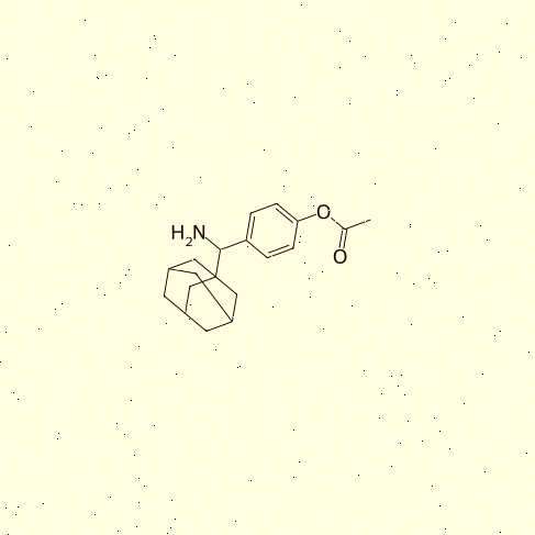 CC(=O)Oc1ccc(C(N)C23CC4CC(CC(C4)C2)C3)cc1